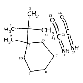 CC(C)(C)C1(C)CCCCC1.N=C=O.N=C=O